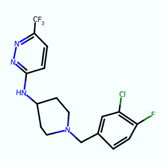 Fc1ccc(CN2CCC(Nc3ccc(C(F)(F)F)nn3)CC2)cc1Cl